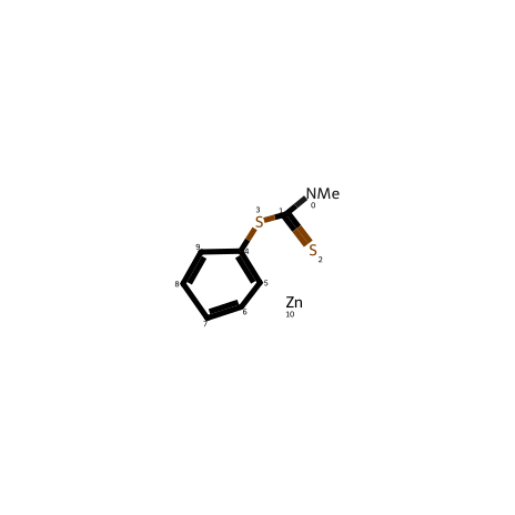 CNC(=S)Sc1ccccc1.[Zn]